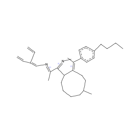 C=CC(C=C)=C/N=C(C)/C(=N/C)C1CCCCC(C)CC/C1=C(/C)c1ccc(CCCC)cc1